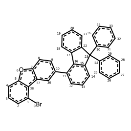 Brc1cccc2oc3ccc(-c4cccc5c4-c4ccccc4C5(c4ccccc4)c4ccccc4)cc3c12